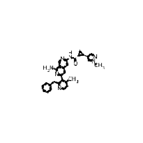 Cc1ccnc(Cc2ccccc2)c1-c1cc2cc(NC(=O)[C@@H]3C[C@H]3c3cnn(C)c3)ncc2c(N)n1